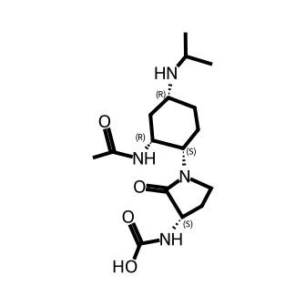 CC(=O)N[C@@H]1C[C@H](NC(C)C)CC[C@@H]1N1CC[C@H](NC(=O)O)C1=O